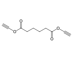 C#COC(=O)CCCCC(=O)OC#C